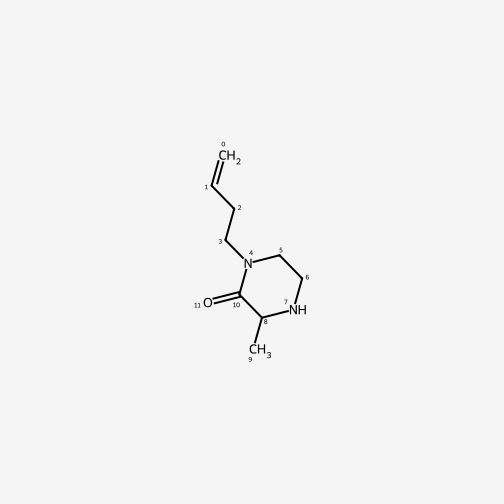 C=CCCN1CCNC(C)C1=O